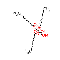 CCCCCCCCCCCC(=O)OCC(OC(=O)CCCCCCCCCCC)C(CC(O)CO)OC(=O)CCCCCCCCCCC